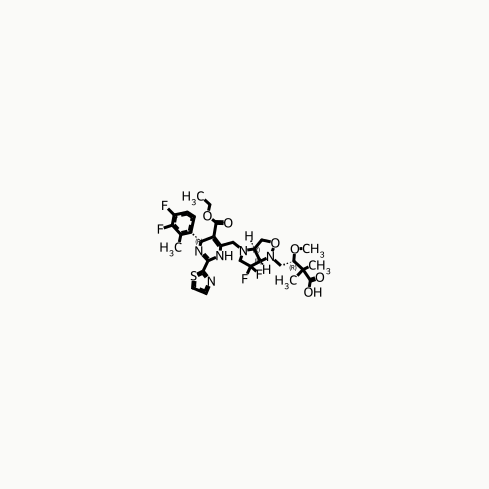 CCOC(=O)C1=C(CN2CC(F)(F)[C@H]3[C@@H]2CON3C[C@H](OC)C(C)(C)C(=O)O)NC(c2nccs2)=N[C@@H]1c1ccc(F)c(F)c1C